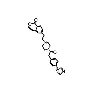 O=C(Cc1ccc(-n2cncn2)cc1)N1CCN(CCc2ccc3c(=O)occc3c2)CC1